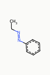 CCN=Nc1ccccc1